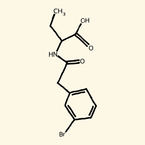 CCC(NC(=O)Cc1cccc(Br)c1)C(=O)O